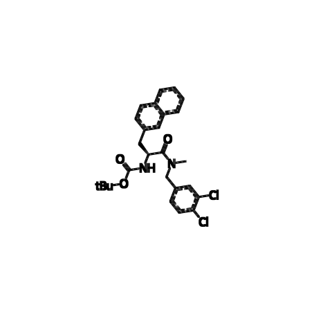 CN(Cc1ccc(Cl)c(Cl)c1)C(=O)[C@H](Cc1ccc2ccccc2c1)NC(=O)OC(C)(C)C